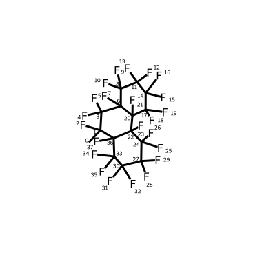 CC1(F)C(F)(F)C2(F)C(F)(F)C(F)(F)C(F)(F)C(F)(F)C2(F)C2(F)C(F)(F)C(F)(F)C(F)(F)C(F)(F)C12F